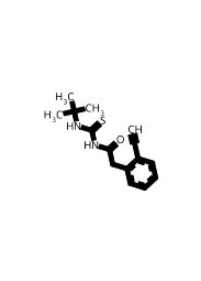 C#Cc1ccccc1CC(=O)NC(=S)NC(C)(C)C